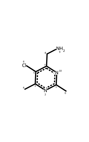 Cc1nc(C)c(Cl)c(CN)n1